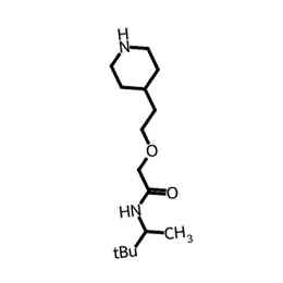 CC(NC(=O)COCCC1CCNCC1)C(C)(C)C